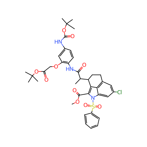 COC(=O)c1c2c3c(cc(Cl)cc3n1S(=O)(=O)c1ccccc1)CCC2C(C)C(=O)Nc1ccc(NC(=O)OC(C)(C)C)cc1OCC(=O)OC(C)(C)C